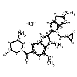 COc1cc(C(=O)N2C[C@H](N)C[C@@H](F)C2)cc2nc(-c3cc4cc(C)sc4n3CC3CC3)n(C)c12.Cl